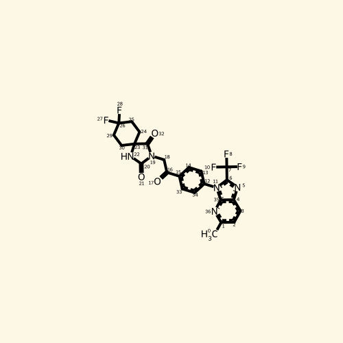 Cc1ccc2nc(C(F)(F)F)n(-c3ccc(C(=O)CN4C(=O)NC5(CCC(F)(F)CC5)C4=O)cc3)c2n1